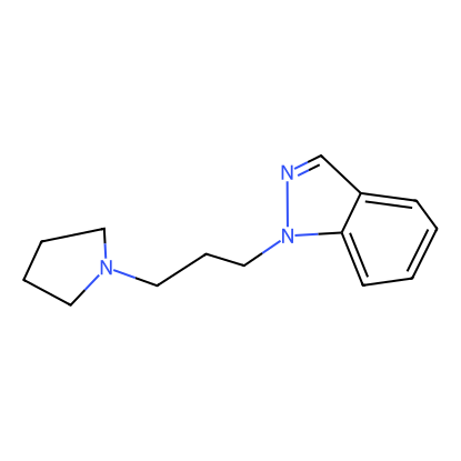 c1ccc2c(c1)cnn2CCCN1CCCC1